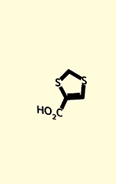 O=C(O)C1=CSCS1